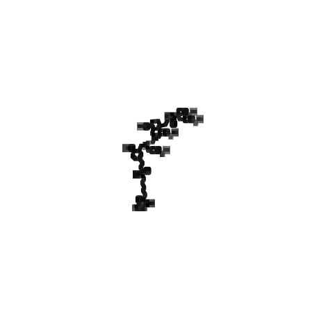 CCCCNC(=O)CCCCCNC(=O)CCc1ccc(O)c(CN(CCN(CC(=O)O)Cc2cc(CCC(=O)NC(CC(=O)O)C(=O)O)ccc2O)CC(=O)O)c1